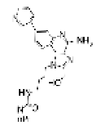 CCCNC(=O)NCCCCn1c(CO)nc2c(N)nc3cc(-c4cccnc4)ccc3c21